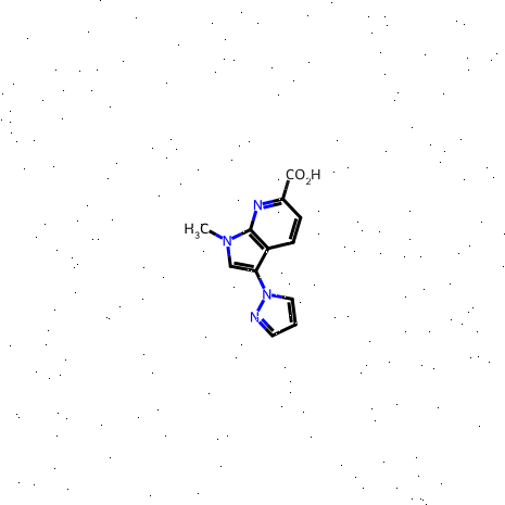 Cn1cc(-n2cccn2)c2ccc(C(=O)O)nc21